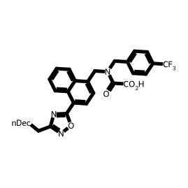 CCCCCCCCCCCc1noc(-c2ccc(CN(Cc3ccc(C(F)(F)F)cc3)C(=O)C(=O)O)c3ccccc23)n1